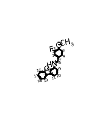 COc1ccc(CNc2cccc3c2oc2ccccc23)cc1F